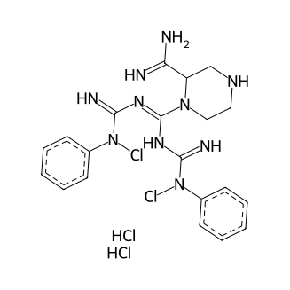 Cl.Cl.N=C(N)C1CNCCN1C(=NC(=N)N(Cl)c1ccccc1)NC(=N)N(Cl)c1ccccc1